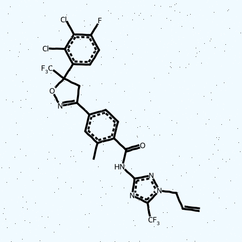 C=CCn1nc(NC(=O)c2ccc(C3=NOC(c4ccc(F)c(Cl)c4Cl)(C(F)(F)F)C3)cc2C)nc1C(F)(F)F